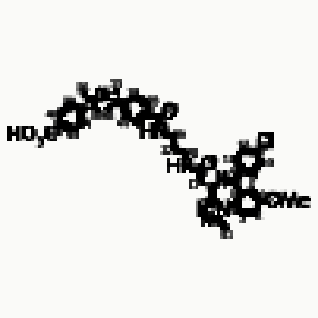 COc1ccc2c(c1)C(c1ccc(Cl)cc1)=N[C@@H](CC(=O)NCCCNC(=O)c1ccc([Si](C)(C)O[Si](C)(C)c3ccc(C(=O)O)cc3)cc1)c1nnc(C)n1-2